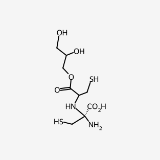 N[C@@](CS)(NC(CS)C(=O)OCC(O)CO)C(=O)O